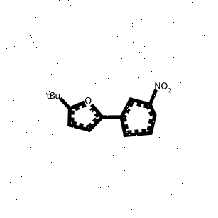 CC(C)(C)c1ccc(-c2cccc([N+](=O)[O-])c2)o1